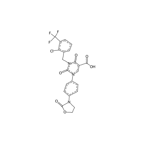 O=C(O)c1cn(-c2ccc(N3CCOC3=O)cc2)c(=O)n(Cc2cccc(C(F)(F)F)c2Cl)c1=O